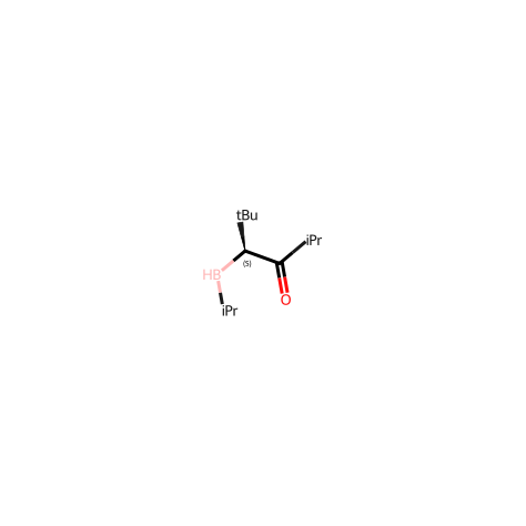 CC(C)B[C@H](C(=O)C(C)C)C(C)(C)C